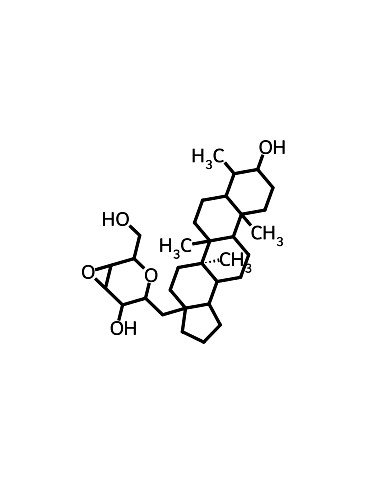 CC1C(O)CCC2(C)C1CCC1(C)C2CCC2C3CCCC3(CC3OC(CO)C4OC4C3O)CC[C@]21C